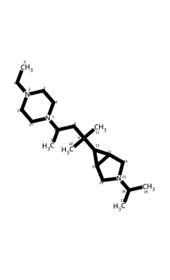 CCN1CCN(C(C)CC(C)(C)C2C3CN(C(C)C)CC32)CC1